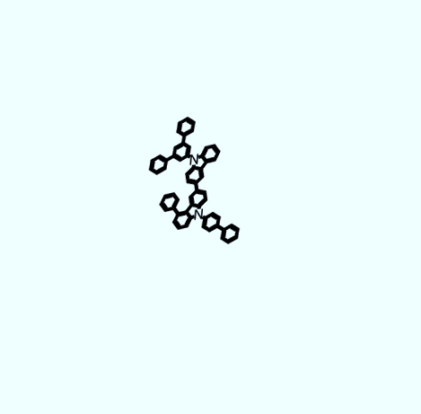 c1ccc(-c2ccc(-n3c4ccc(-c5ccc6c(c5)c5ccccc5n6-c5cc(-c6ccccc6)cc(-c6ccccc6)c5)cc4c4c(-c5ccccc5)cccc43)cc2)cc1